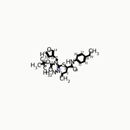 C=CCC(S/C(=N/N)N(Sc1ccoc1)C(=O)OC(C)(C)C)C(=O)Nc1ccc(CC)cc1